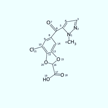 Cn1nccc1C(=O)c1cc(Cl)c2c(c1)OC(C(=O)O)O2